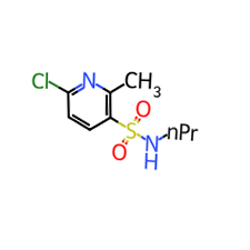 CCCNS(=O)(=O)c1ccc(Cl)nc1C